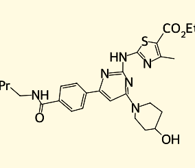 CCOC(=O)c1sc(Nc2nc(-c3ccc(C(=O)NCC(C)C)cc3)cc(N3CCC(O)CC3)n2)nc1C